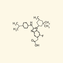 CC(C)c1ccc(Nc2nc3cc(CC(=O)O)c(F)cc3n2[C@H]2C[C@@H](C)CC(C)(C)C2)cc1